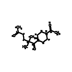 CC(=O)CCC(C)(C)C(=O)N1CCN(C(C)=O)CC1